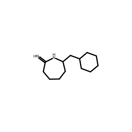 N=C1CCCCC(CC2CCCCC2)N1